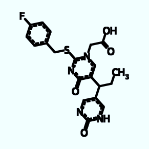 CCC(c1cnc(=O)[nH]c1)c1cn(CC(=O)O)c(SCc2ccc(F)cc2)nc1=O